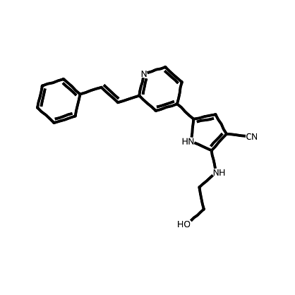 N#Cc1cc(-c2ccnc(C=Cc3ccccc3)c2)[nH]c1NCCO